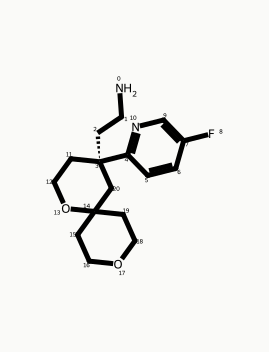 NCC[C@@]1(c2ccc(F)cn2)CCOC2(CCOCC2)C1